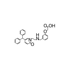 O=C(O)COc1cccc(CNCCn2cc(C(c3ccccc3)c3ccccc3)ccc2=O)c1